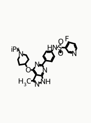 Cc1n[nH]c2nc(-c3ccc(NS(=O)(=O)c4cnccc4F)cc3)nc(OC3CCN(C(C)C)CC3)c12